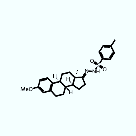 COc1ccc2c(c1)CC[C@@H]1[C@@H]2CC[C@@]2(C)C(=NNS(=O)(=O)c3ccc(C)cc3)CC[C@@H]12